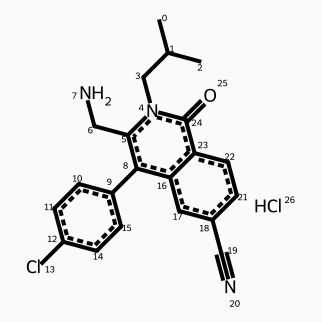 CC(C)Cn1c(CN)c(-c2ccc(Cl)cc2)c2cc(C#N)ccc2c1=O.Cl